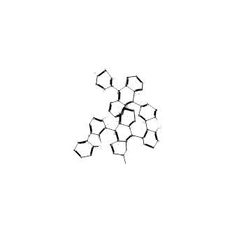 CC1C=Cc2c(c(-c3cccc4sc5ccc(-c6c7ccccc7c(-c7ccccc7)c7ccccc67)cc5c34)c3ccccc3c2-c2cccc3c2sc2ccccc23)C1